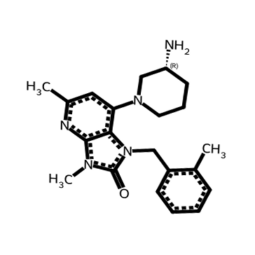 Cc1cc(N2CCC[C@@H](N)C2)c2c(n1)n(C)c(=O)n2Cc1ccccc1C